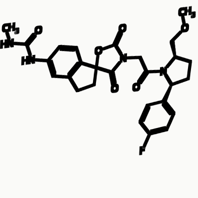 CNC(=O)Nc1ccc2c(c1)CCC21OC(=O)N(CC(=O)N2[C@@H](COC)CC[C@H]2c2ccc(F)cc2)C1=O